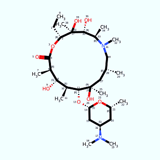 CC[C@H]1OC(=O)[C@H](C)[C@@H](O)[C@H](C)[C@@H](O[C@H]2[CH][C@H](N(C)C)C[C@@H](C)O2)[C@](C)(O)C[C@@H](C)CN(C)[C@H](C)[C@@H](O)[C@]1(C)O